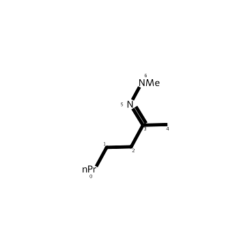 CCCCCC(C)=NNC